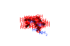 CC(=O)NC1[C@H](OCCN)OC(CO)[C@@H](O[C@@H]2OC(CO)[C@@H](O[C@@H]3OC(CO[C@H]4OC(CO[C@H]5OC(CO)[C@@H](O)[C@H](O)C5O)[C@@H](O)[C@H](O[C@@H]5CC(O)[C@H](O)C(CO)O5)C4O)[C@@H](O)[C@H](O[C@H]4OC(CO)[C@@H](O)C(O)C4O[C@@H]4OC(CO)[C@@H](O[C@@H]5OC(CO[C@]6(C(=O)O)CC(O)[C@@H](C)C([C@H](O)[C@H](O)CO)O6)[C@H](O)[C@H](O)C5O)[C@H](O)C4NC(C)=O)C3O)[C@H](O)C2NC(C)=O)[C@@H]1O